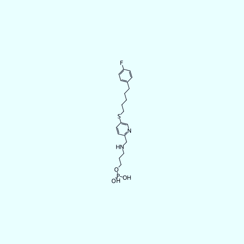 O=[PH](O)OCCCNCc1ccc(SCCCCCc2ccc(F)cc2)cn1